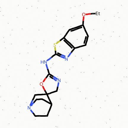 CCOc1ccc2nc(NC3=NCC4(CN5CCC4CC5)O3)sc2c1